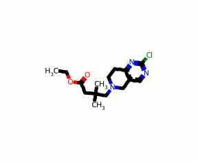 CCOC(=O)CC(C)(C)CN1CCc2nc(Cl)ncc2C1